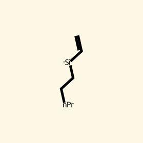 C=C[Si]CCCCC